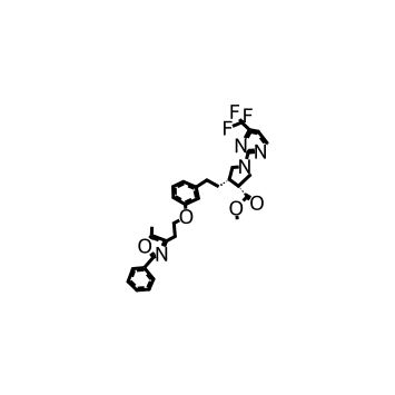 COC(=O)[C@H]1CN(c2nccc(C(F)(F)F)n2)C[C@H]1CCc1cccc(OCCc2nc(-c3ccccc3)oc2C)c1